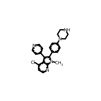 Cn1c(-c2ccc(N3CCNCC3)cc2)c(-c2ccncc2)c2c(Cl)ccnc21